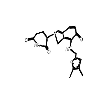 Cc1cc(CNC2=C3CN(C4CCC(=O)NC4=O)C=C3C=CC2=O)oc1C